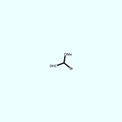 COC(Br)C=O